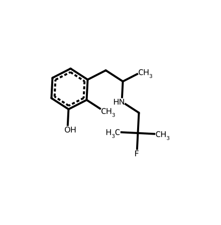 Cc1c(O)cccc1CC(C)NCC(C)(C)F